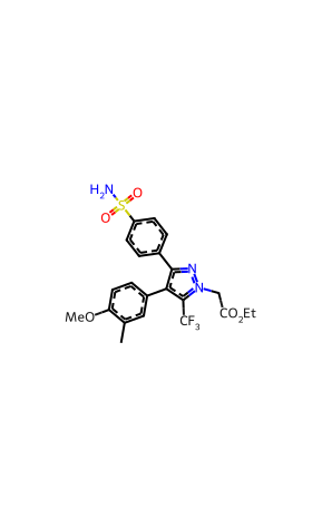 CCOC(=O)Cn1nc(-c2ccc(S(N)(=O)=O)cc2)c(-c2ccc(OC)c(C)c2)c1C(F)(F)F